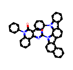 O=c1c2cnc(-n3c4ccc5ccccc5c4c4ccc5c6ccccc6n(-c6ccccc6)c5c43)nc2c2ccccc2n1-c1ccccc1